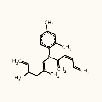 C=C/C=C\C(=C)N(/C=C(\C)CC(C)C=C)c1ccc(C)cc1C